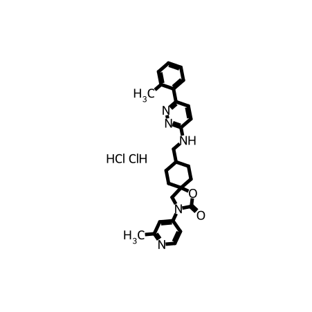 Cc1cc(N2CC3(CCC(CNc4ccc(-c5ccccc5C)nn4)CC3)OC2=O)ccn1.Cl.Cl